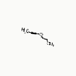 CC#CO[CH]CC